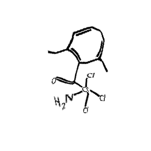 Cc1cccc(C)c1[C](=O)[Cr]([NH2])([Cl])([Cl])[Cl]